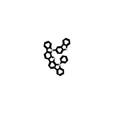 C1=CC2c3ccc4c5ccccc5n(-c5ccccc5)c4c3SC2c2c1c1ccccc1n2-c1ccc2sc3ccccc3c2c1